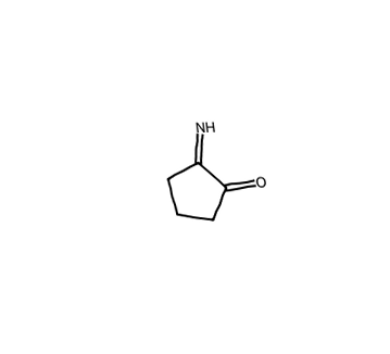 N=C1CCCC1=O